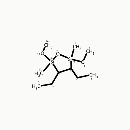 CCC1C(CC)[Si](C)(OC)O[Si]1(C)OC